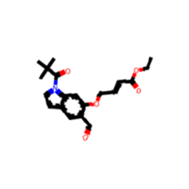 CCOC(=O)C=CCOc1cc2c(ccn2C(=O)C(C)(C)C)cc1C=O